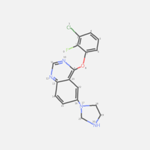 Fc1c(Cl)cccc1Oc1ncnc2ccc(N3CCNC3)cc12